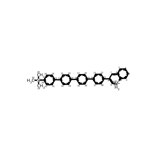 C=c1cccc/c1=C/C(=C\N)c1ccc(-c2ccc(-c3ccc(-c4ccc([Si](C)(C)C)cc4)cc3)cc2)cc1